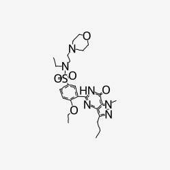 CCCc1nn(C)c2c(=O)[nH]c(-c3cc(S(=O)(=O)N(CC)CCN4CCOCC4)ccc3OCC)nc12